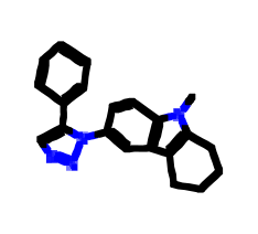 Cn1c2c(c3cc(-n4nncc4-c4ccccc4)ccc31)CCCC2